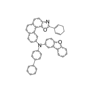 C1=CC(c2nc3ccc4ccc5ccc(N(c6ccc(-c7ccccc7)cc6)c6ccc7oc8ccccc8c7c6)cc5c4c3o2)=CCC1